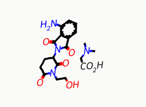 CN(C)CC(=O)O.Nc1cccc2c1C(=O)N(C1CCC(=O)N(CCO)C1=O)C2=O